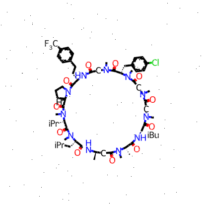 CC[C@H](C)[C@@H]1NC(=O)[C@H](C)N(C)C(=O)C[C@@H](C)NC(=O)[C@H](CC(C)C)N(C)C(=O)[C@H](C(C)C)N(C)C(=O)[C@@H]2CCCN2C(=O)[C@H](CCc2ccc(C(F)(F)F)cc2)NC(=O)CN(C)C(=O)[C@H](Cc2ccc(Cl)cc2)N(C)C(=O)CN(C)C(=O)CN(C)C1=O